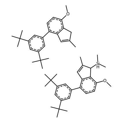 COc1ccc(-c2cc(C(C)(C)C)cc(C(C)(C)C)c2)c2c1C([SiH](C)C)C(C)=C2.COc1ccc(-c2cc(C(C)(C)C)cc(C(C)(C)C)c2)c2c1CC(C)=C2